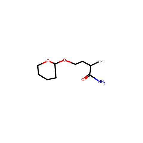 CCCC(CCOC1CCCCO1)C(N)=O